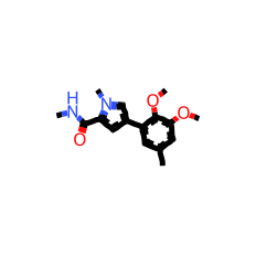 CNC(=O)c1cc(-c2cc(C)cc(OC)c2OC)cn1C